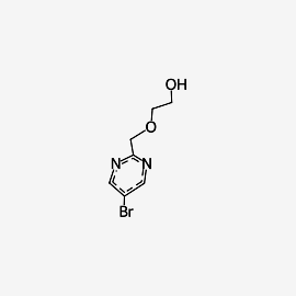 OCCOCc1ncc(Br)cn1